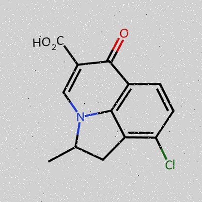 CC1Cc2c(Cl)ccc3c(=O)c(C(=O)O)cn1c23